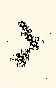 CC1CC(=O)N(CCCNC(=O)C[C@H](NC(=O)OC(C)(C)C)C(=O)OC(C)(C)C)N=C1c1ccc(NC(=O)N2Cc3ccncc3C2)cc1